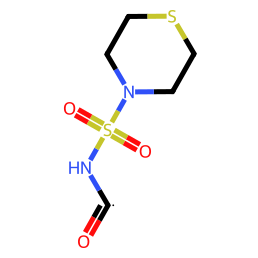 O=[C]NS(=O)(=O)N1CCSCC1